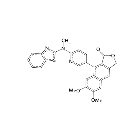 COc1cc2cc3c(c(-c4ccc(N(C)c5nc6ccccc6s5)nc4)c2cc1OC)C(=O)OC3